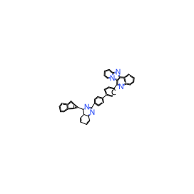 C1=CC2=NC(c3ccc(-c4ccc(-c5nc6ccccc6c6nc7ccccn7c56)cc4)cc3)=NC(c3c4cc5ccccc5c3-4)C2C=C1